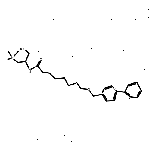 C[N+](C)(C)CC(CC(=O)[O-])NC(=O)CCCCCCCOCc1ccc(-c2ccccc2)cc1